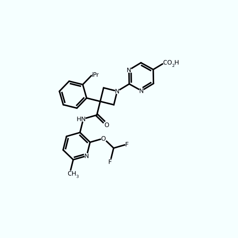 Cc1ccc(NC(=O)C2(c3ccccc3C(C)C)CN(c3ncc(C(=O)O)cn3)C2)c(OC(F)F)n1